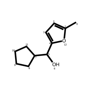 Cc1ccc(C(O)C2CCCC2)o1